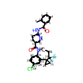 Cc1ccccc1C(=O)Nc1ccc(C(=O)N2CCC(F)(F)C3(CC3)c3cc(Cl)ccc32)cn1